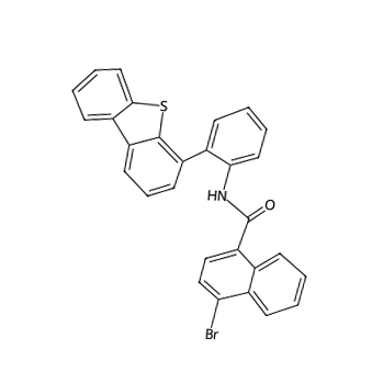 O=C(Nc1ccccc1-c1cccc2c1sc1ccccc12)c1ccc(Br)c2ccccc12